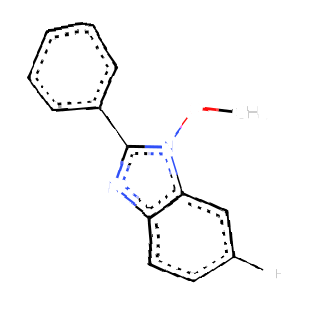 COn1c(-c2ccccc2)nc2ccc(C)cc21